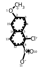 COc1ccc2c(Cl)c([N+](=O)[O-])ccc2c1